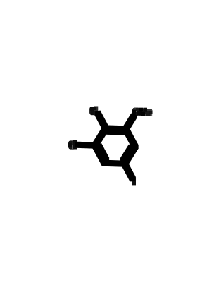 COc1cc(I)cc(Cl)c1Cl